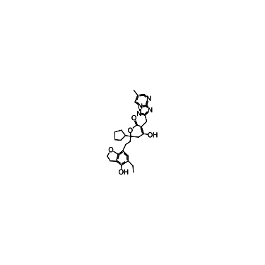 CCc1cc(CCC2(C3CCCC3)CC(O)=C(Cc3nc4ncc(C)cn4n3)C(=O)O2)c2c(c1O)CCO2